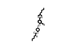 CCCCCc1cnc(-c2ccc(OC[C@H]3CC[C@H](OC(=O)[C@@H](F)CCCC)CC3)c(C#N)c2)nc1